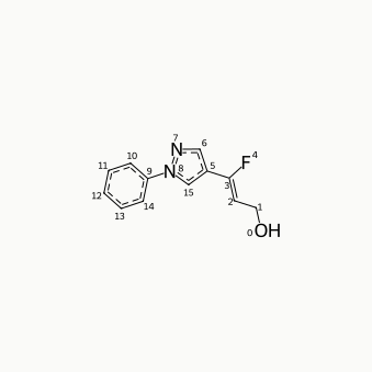 OCC=C(F)c1cnn(-c2ccccc2)c1